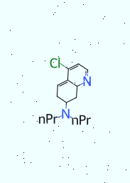 CCCN(CCC)C1CC=C2C(Cl)=CC=NC2C1